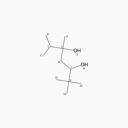 CC(C)C(C)(O)CC(O)C(C)(C)C